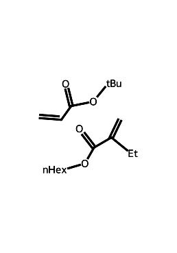 C=C(CC)C(=O)OCCCCCC.C=CC(=O)OC(C)(C)C